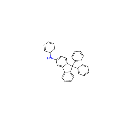 C1=CCC(Nc2ccc3c(c2)-c2ccccc2C3(c2ccccc2)c2ccccc2)C=C1